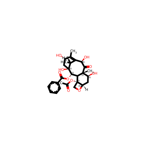 CC(=O)O[C@@]12CO[C@@H]1C[C@H](O)[C@@]1(C)C(=O)[C@H](O)C3=C(C)[C@@H](O)C[C@@](O)([C@@H](OC(=O)c4ccccc4)C12)C3(C)C